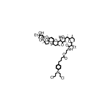 CC[C@@H](C(=O)[C@@H](C)[C@@H](O)[C@H](C)[C@@H]1O[C@@H]([C@@H](CC)C(=O)NCCOC(=O)CCCc2ccc(N(CCCl)CCCl)cc2)CC[C@@H]1C)[C@H]1O[C@]2(C=C[C@@H](OC(C)=O)[C@]3(CC[C@@](C)(N4CC[C@](O)(CC)CO4)O3)O2)[C@H](C)C[C@@H]1C